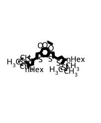 CCCCCCc1cc(-c2cc3c(s2)-c2sc(-c4cc(CCCCCC)c([Si](C)(C)C)s4)cc2C2(OCCO2)C3=O)sc1[Si](C)(C)C